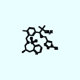 CCn1cc(CO[C@@H](c2ccc(C)c(CN3C[C@H](C)Cc4ncccc4S3(=O)=O)c2)C(C)(C)C(=O)O)nn1